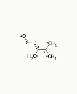 C/C(=C\[C]=O)C(C)C